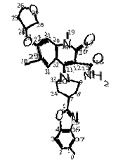 Cc1ccc2oc(C3CCN(c4c(C(N)=O)c(=O)n(C)c5cc(O[C@H]6CCOC6)c(C)cc45)CC3)nc2c1